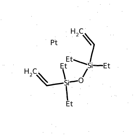 C=C[Si](CC)(CC)O[Si](C=C)(CC)CC.[Pt]